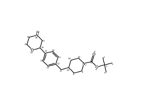 CC(C)(C)OC(=O)N1CCC(Cc2ccc(C3CNCCO3)cc2)CC1